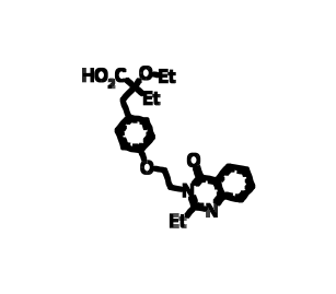 CCOC(CC)(Cc1ccc(OCCn2c(CC)nc3ccccc3c2=O)cc1)C(=O)O